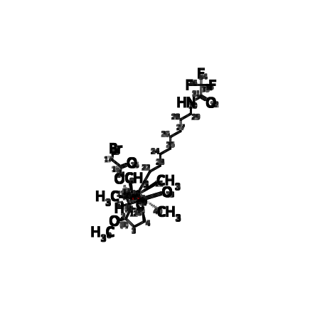 CO[C@@H]1CC[C@]23CC[C@@H](C)[C@](C)([C@H]12)[C@H](OC(=O)CBr)C[C@](C)(CCCCCCCCNC(=O)C(F)(F)F)C(=O)[C@@H]3C